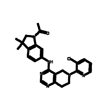 CC(=O)N1CC(C)(C)c2ccc(Nc3ncnc4c3CN(c3ncccc3Cl)CC4)cc21